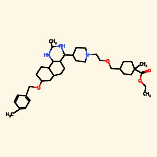 CCOC(=O)C1(C)CCC(COCCN2CCC(C3NC(C)NC4C5CCC(OCc6ccc(C)cc6)CC5CCC34)CC2)CC1